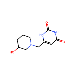 O=c1cc(CN2CCCC(O)C2)[nH]c(=O)[nH]1